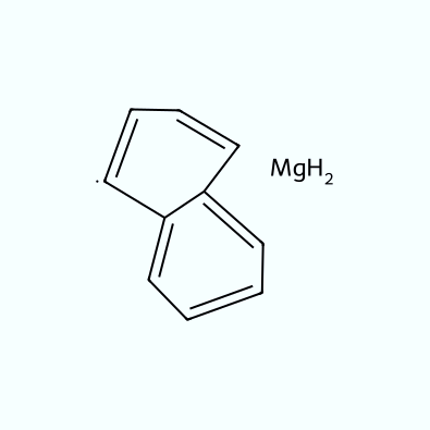 [MgH2].[c]1cccc2ccccc12